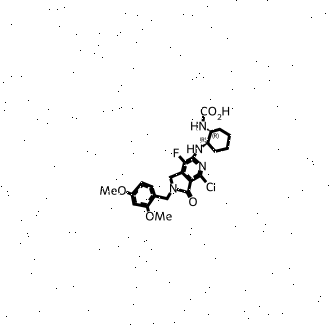 COc1ccc(CN2Cc3c(F)c(N[C@@H]4CCCC[C@H]4NC(=O)O)nc(Cl)c3C2=O)c(OC)c1